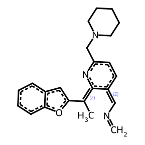 C=N/C=c1/ccc(CN2CCCCC2)n/c1=C(/C)c1cc2ccccc2o1